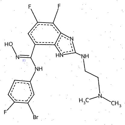 CN(C)CCNc1nc2c(F)c(F)cc(/C(=N\O)Nc3ccc(F)c(Br)c3)c2[nH]1